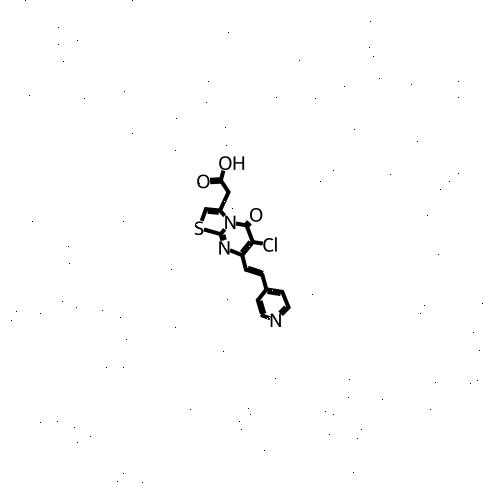 O=C(O)Cc1csc2nc(/C=C/c3ccncc3)c(Cl)c(=O)n12